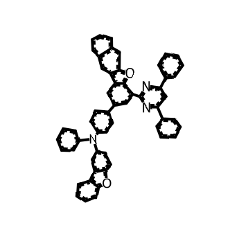 c1ccc(-c2cc(-c3ccccc3)nc(-c3cc(-c4ccc(N(c5ccccc5)c5ccc6oc7ccccc7c6c5)cc4)cc4c3oc3cc5ccccc5cc34)n2)cc1